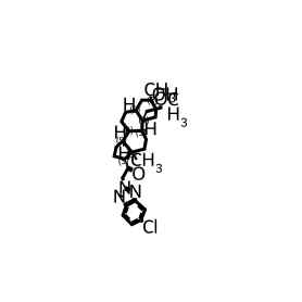 COCC[C@]12CC[C@@](C)(O)C[C@@H]1CC[C@H]1[C@@H]3CC[C@H](C(=O)Cn4nc5ccc(Cl)cc5n4)[C@@]3(C)CC[C@@H]12